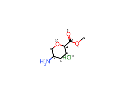 COC(=O)C1CCC(N)CO1.Cl